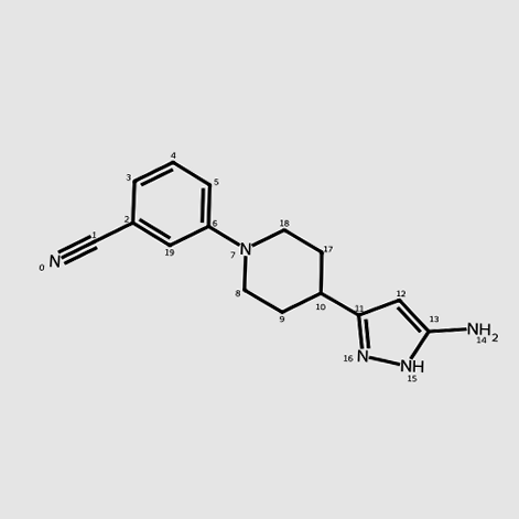 N#Cc1cccc(N2CCC(c3cc(N)[nH]n3)CC2)c1